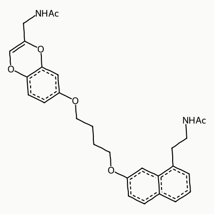 CC(=O)NCCc1cccc2ccc(OCCCCOc3ccc4c(c3)OC(CNC(C)=O)=CO4)cc12